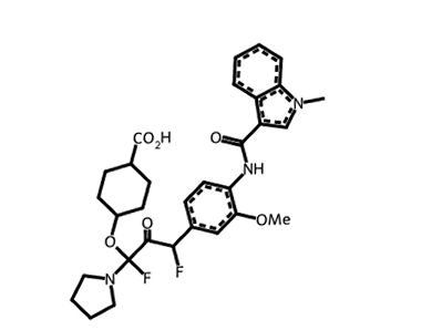 COc1cc(C(F)C(=O)C(F)(OC2CCC(C(=O)O)CC2)N2CCCC2)ccc1NC(=O)c1cn(C)c2ccccc12